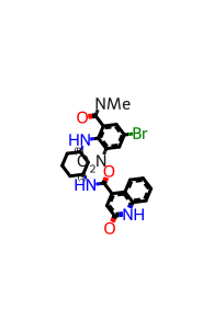 CNC(=O)c1cc(Br)cc([N+](=O)[O-])c1N[C@@H]1CCC[C@H](NC(=O)c2cc(=O)[nH]c3ccccc23)C1